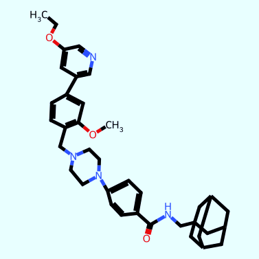 CCOc1cncc(-c2ccc(CN3CCN(c4ccc(C(=O)NCC56CC7CC(CC(C7)C5)C6)cc4)CC3)c(OC)c2)c1